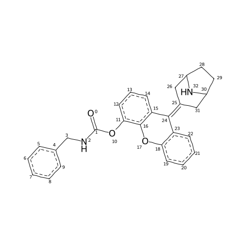 O=C(NCc1ccccc1)Oc1cccc2c1Oc1ccccc1C2=C1CC2CCC(C1)N2